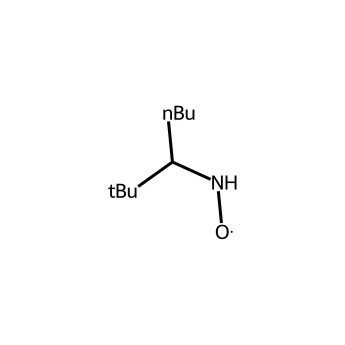 CCCCC(N[O])C(C)(C)C